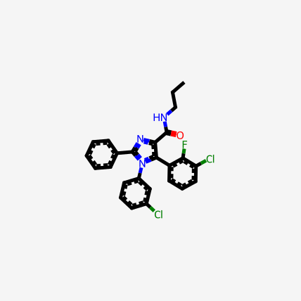 CCCNC(=O)c1nc(-c2ccccc2)n(-c2cccc(Cl)c2)c1-c1cccc(Cl)c1F